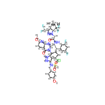 COc1ccc(CN(c2nn(C)c3c(-n4c(C(Cc5cc(F)cc(F)c5)NC(=O)Cn5nc(C(F)F)c6c5C(F)(F)[C@@H]5C[C@H]65)nc5nc(OC)ccc5c4=O)ccc(Cl)c23)S(C)(=O)=O)cc1